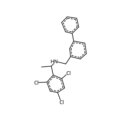 CC(NCc1cccc(-c2ccccc2)c1)c1c(Cl)cc(Cl)cc1Cl